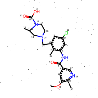 COc1cc(C(=O)Nc2cc(Cl)cc(CN3CCN(C(=O)O)C(C)C3)c2C)cnc1C